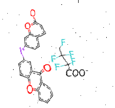 O=C([O-])C(F)(F)C(F)(F)CF.O=c1ccc2ccc([I+]c3ccc4oc5ccccc5c(=O)c4c3)cc2o1